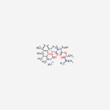 CO[C@H](C)C(=O)N(C)[C@@H](CC(C)C)C(=O)O[C@H](Cc1ccc(C(C)(C)C)cc1)C(=O)N(C)[C@@H](CC(C)C)C(=O)O[C@H](C)C(=O)N(C)C